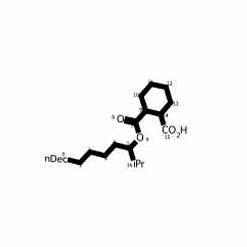 CCCCCCCCCCCCCCC(OC(=O)C1CCCCC1C(=O)O)C(C)C